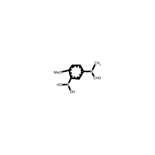 COc1ccc(N(C)C=O)cc1B(O)O